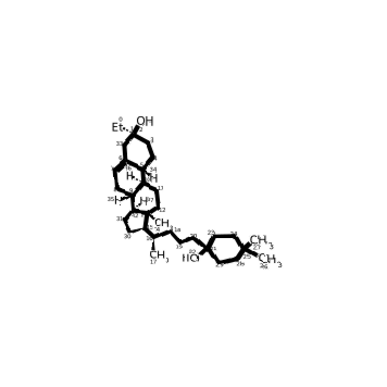 CC[C@]1(O)CC[C@H]2C(=CC[C@@H]3[C@@H]2CC[C@]2(C)[C@@H]([C@H](C)CCCC4(O)CCC(C)(C)CC4)CC[C@@H]32)C1